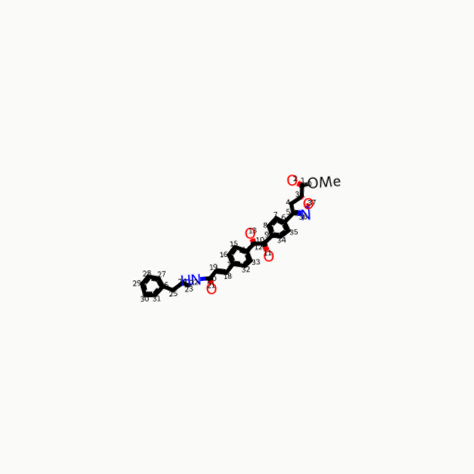 COC(=O)C1CC(c2ccc(C(=O)C(=O)c3ccc(C=CC(=O)NCCCc4ccccc4)cc3)cc2)=NO1